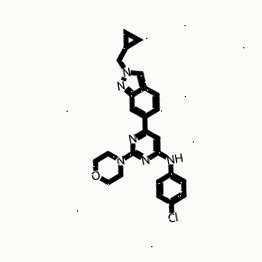 Clc1ccc(Nc2cc(-c3ccc4cn(CC5CC5)nc4c3)nc(N3CCOCC3)n2)cc1